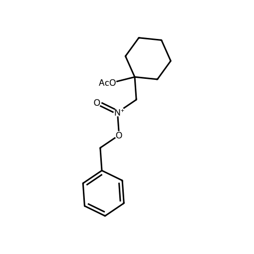 CC(=O)OC1(C[N+](=O)OCc2ccccc2)CCCCC1